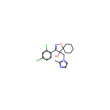 Cc1nccn1CC1(O)C(c2ccc(Cl)cc2F)=NOC12CCCCC2